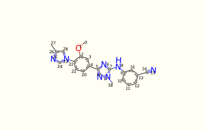 COc1cc(-c2nc(Nc3cccc(C#N)c3)n(C)n2)ccc1-n1cnc(C)c1